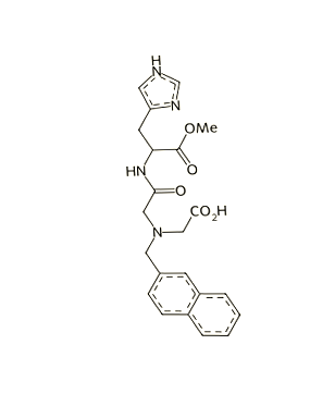 COC(=O)C(Cc1c[nH]cn1)NC(=O)CN(CC(=O)O)Cc1ccc2ccccc2c1